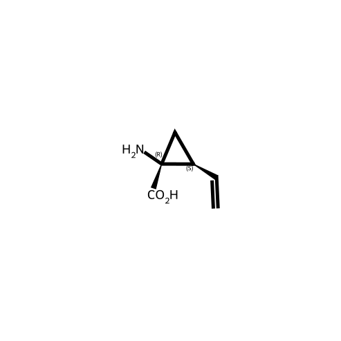 C=C[C@@H]1C[C@]1(N)C(=O)O